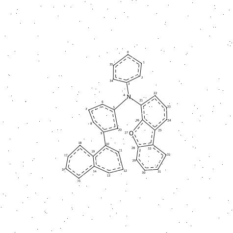 c1ccc(N(c2cccc(-c3cccc4ccccc34)c2)c2cccc3c2oc2ccccc23)cc1